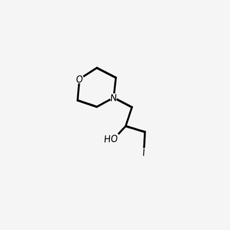 OC(CI)CN1CCOCC1